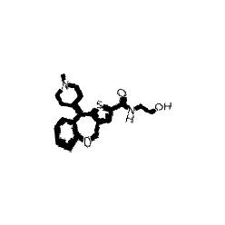 CN1CCC(=C2c3ccccc3OCc3cc(C(=O)NCCO)sc32)CC1